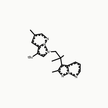 Cc1cnn2c(c1)c(C(C)(C)C)c[n+]2CC(C)(C)c1c(C)nn2ncccc12